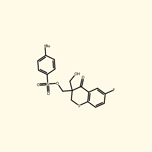 CC(C)(C)c1ccc(S(=O)(=O)OCC2(CO)CSc3ccc(F)cc3C2=O)cc1